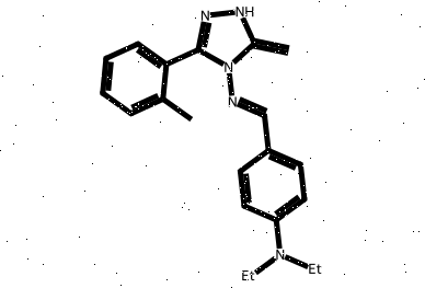 C=C1NN=C(c2ccccc2C)N1N=Cc1ccc(N(CC)CC)cc1